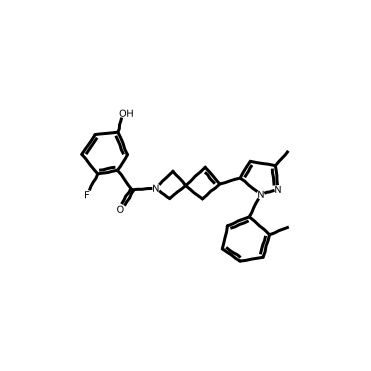 Cc1cc(C2=CC3(C2)CN(C(=O)c2cc(O)ccc2F)C3)n(-c2ccccc2C)n1